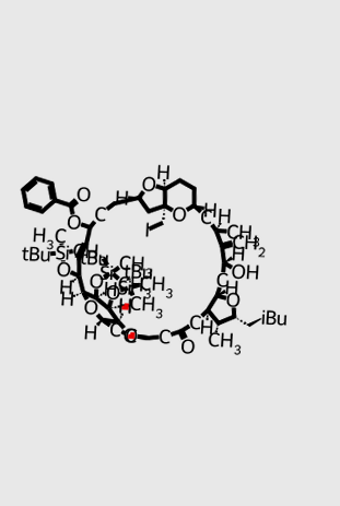 C=C1[C@H](C)C[C@H]2CC[C@@H]3O[C@@H](CCC(OC(=O)c4ccccc4)/C=C/[C@H](O[Si](C)(C)C(C)(C)C)[C@@H]4O[C@H]5CCC(CC(=O)C[C@@H]6[C@@H](C)[C@@H](C[C@H](C)CC)O[C@H]6C[C@H]1O)O[C@@H]5[C@H](O[Si](C)(C)C(C)(C)C)[C@@H]4O[Si](C)(C)C(C)(C)C)C[C@]3(CI)O2